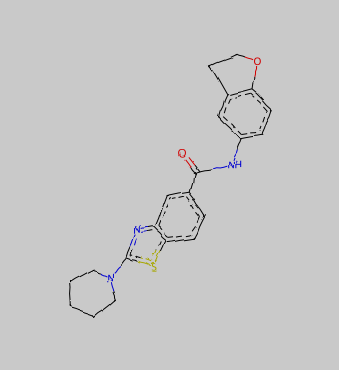 O=C(Nc1ccc2c(c1)CCO2)c1ccc2sc(N3CCCCC3)nc2c1